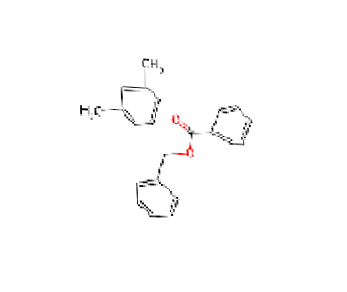 Cc1cccc(C)c1.O=C(OCc1ccccc1)c1ccccc1